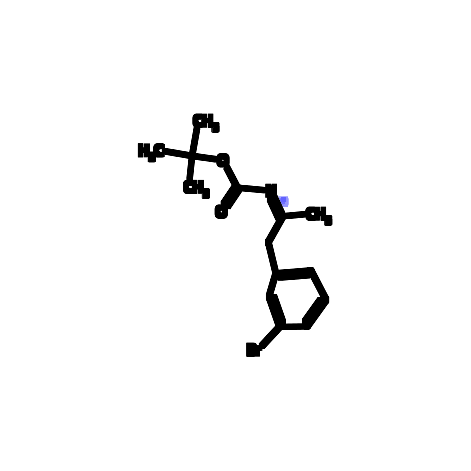 C/C(Cc1cccc(Br)c1)=N/C(=O)OC(C)(C)C